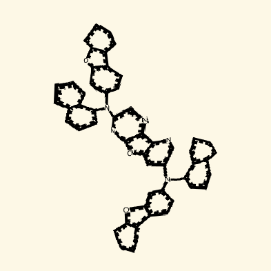 c1ccc2c(N(c3ccc4c(c3)oc3ccccc34)c3cnc4c(c3)oc3nc(N(c5ccc6c(c5)oc5ccccc56)c5cccc6ccccc56)cnc34)cccc2c1